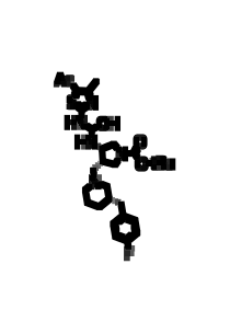 CC(=O)c1sc(NC(O)N[C@@H]2CN(C(=O)OC(C)(C)C)C[C@@H]2CN2CCC[C@@H](Cc3ccc(F)cc3)C2)nc1C